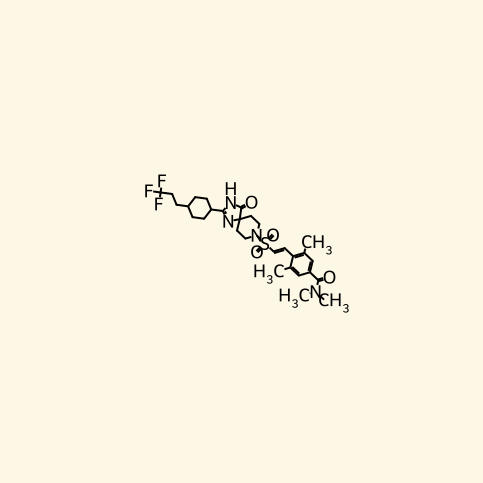 Cc1cc(C(=O)N(C)C)cc(C)c1C=CS(=O)(=O)N1CCC2(CC1)N=C(C1CCC(CCC(F)(F)F)CC1)NC2=O